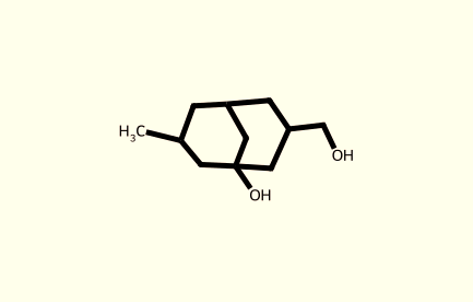 CC1CC2CC(CO)CC(O)(C1)C2